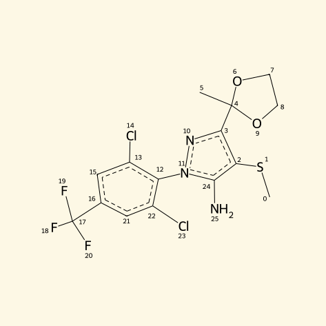 CSc1c(C2(C)OCCO2)nn(-c2c(Cl)cc(C(F)(F)F)cc2Cl)c1N